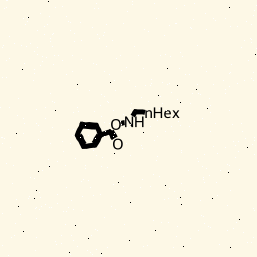 CCCCCCCNOC(=O)c1ccccc1